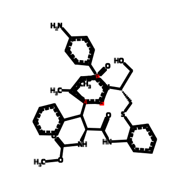 COC(=O)N[C@H](C(=O)Nc1ccccc1SC[C@@H](CO)N(CCC(C)C)S(=O)(=O)c1ccc(N)cc1)C(c1ccccc1)c1ccccc1